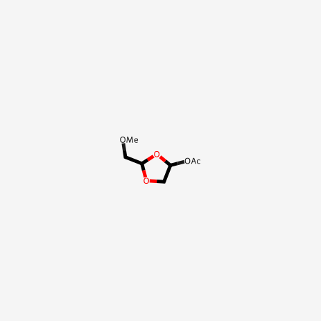 COCC1OCC(OC(C)=O)O1